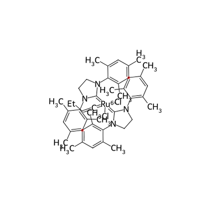 CCC=[C]=[Ru-6]([Cl])([Cl])(=[C]1N(c2c(C)cc(C)cc2C)CCN1c1c(C)cc(C)cc1C)=[C]1N(c2c(C)cc(C)cc2C)CCN1c1c(C)cc(C)cc1C